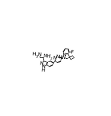 NCC(N)c1n[nH]c2ccc(-c3ccc(NCC4(c5ncccc5F)CCC4)nn3)cc12